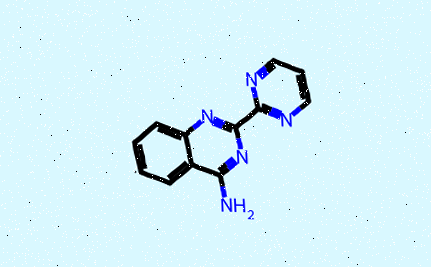 Nc1nc(-c2ncccn2)nc2cc[c]cc12